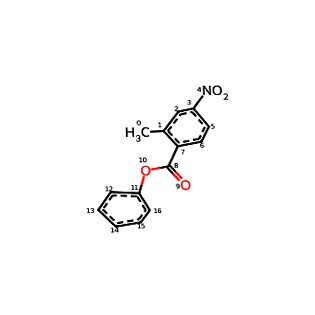 Cc1cc([N+](=O)[O-])ccc1C(=O)Oc1ccccc1